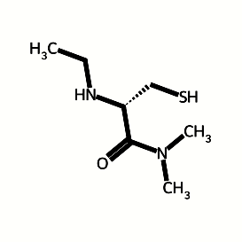 CCN[C@H](CS)C(=O)N(C)C